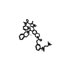 Cc1c(C(=O)N(C)c2ccccc2)cc(-c2cc3c(cc2C(=O)N2Cc4ccccc4C[C@H]2C)CN(C(=O)Cc2cccc(N(C)CCN(C)C)c2)CC3)n1C